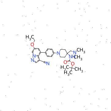 CCOc1cc(-c2ccc(N3CCC(CN(C)C)(NC(=O)OC(C)(C)C)CC3)cc2)c2c(C#N)cnn2c1